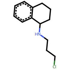 ClCCCN[C]1CCCc2ccccc21